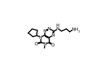 Cn1c(=O)c2nc(NCCCN)nnc2n(C2CCCC2)c1=O